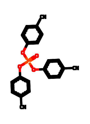 N#Cc1ccc(OP(=O)(Oc2ccc(C#N)cc2)Oc2ccc(C#N)cc2)cc1